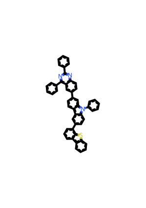 c1ccc(-c2nc(-c3ccccc3)c3cc(-c4ccc5c6cc(-c7cccc8c7sc7ccccc78)ccc6n(-c6ccccc6)c5c4)ccc3n2)cc1